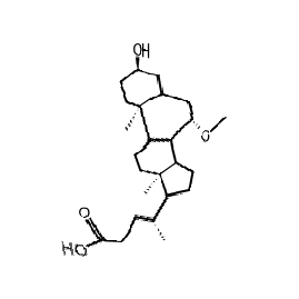 CO[C@H]1CC2C[C@H](O)CC[C@]2(C)C2CC[C@@]3(C)C(CCC3[C@H](C)CCC(=O)O)C21